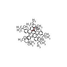 Cc1cc2c3c(c1)N(c1ccc(C(C)(C)C)cc1-c1ccc4c(c1)C(C)(C)CC4(C)C)c1cc4c(cc1B3c1ccc(C(C)(C)C)cc1N2c1cc(C(C)(C)C)ccc1C)C(C)(C)CCC4(C)C